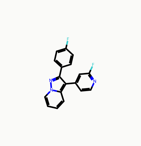 Fc1ccc(-c2nn3ccccc3c2-c2ccnc(F)c2)cc1